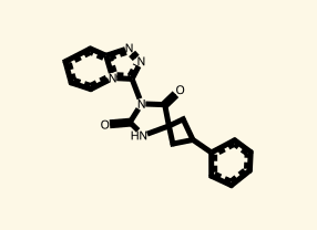 O=C1NC2(CC(c3ccccc3)C2)C(=O)N1c1nnc2ccccn12